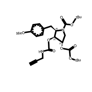 C#CCNC(=O)O[C@@H]1[C@@H](OC(=O)OC(C)(C)C)CN(C(=O)OC(C)(C)C)[C@@H]1Cc1ccc(OC)cc1